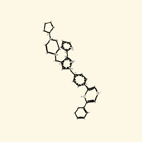 C1=CCCC(C2=COC=C(c3ccc(-n4cc(CN5CCN(C6CCCC6)CC5)c(-c5ccco5)n4)cc3)O2)=C1